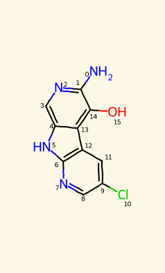 Nc1ncc2[nH]c3ncc(Cl)cc3c2c1O